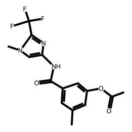 CC(=O)Oc1cc(C)cc(C(=O)Nc2cn(C)c(C(F)(F)F)n2)c1